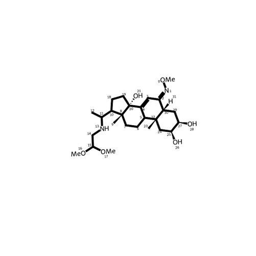 CO/N=C1\C=C2C(CC[C@]3(C)C(C(C)NCC(OC)OC)CC[C@@]23O)[C@@]2(C)C[C@H](O)[C@H](O)C[C@@H]12